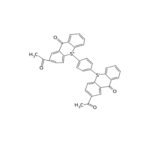 CC(=O)c1ccc2c(c1)c(=O)c1ccccc1[s+]2-c1ccc(-[s+]2c3ccccc3c(=O)c3cc(C(C)=O)ccc32)cc1